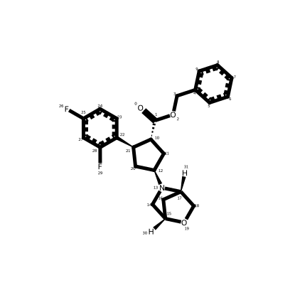 O=C(OCc1ccccc1)[C@@H]1C[C@@H](N2C[C@@H]3C[C@H]2CO3)C[C@H]1c1ccc(F)cc1F